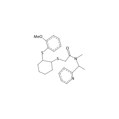 COc1ccccc1SC1CCCCC1SCC(=O)N(C)C(C)c1ccccn1